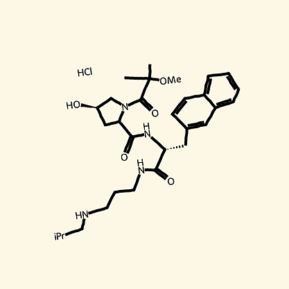 COC(C)(C)C(=O)N1C[C@H](O)CC1C(=O)N[C@H](Cc1ccc2ccccc2c1)C(=O)NCCCNCC(C)C.Cl